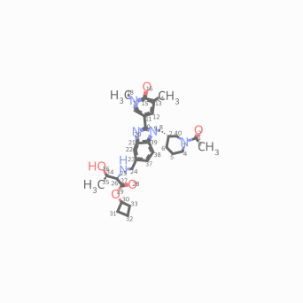 CC(=O)N1CCC[C@H](Cn2c(-c3cc(C)c(=O)n(C)c3)nc3cc(CN[C@@H](C(=O)OC4CCC4)[C@@H](C)O)ccc32)C1